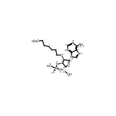 CCCCCCCCCCCCCCCCO[C@@H]1[C@H](OP(O)(O)=S)[C@@H](CO)O[C@H]1n1cnc2c(N)ncnc21